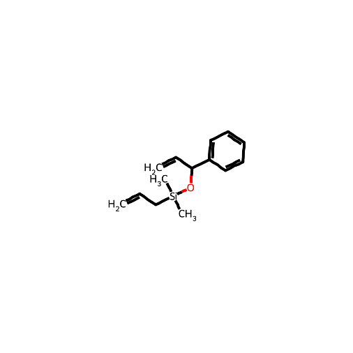 C=CC[Si](C)(C)OC(C=C)c1ccccc1